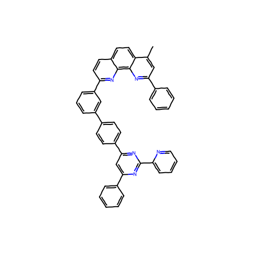 Cc1cc(-c2ccccc2)nc2c1ccc1ccc(-c3cccc(-c4ccc(-c5cc(-c6ccccc6)nc(-c6ccccn6)n5)cc4)c3)nc12